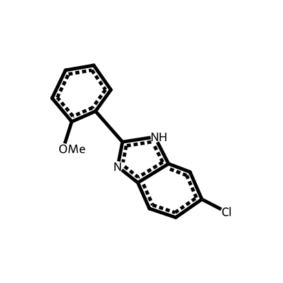 COc1ccccc1-c1nc2ccc(Cl)cc2[nH]1